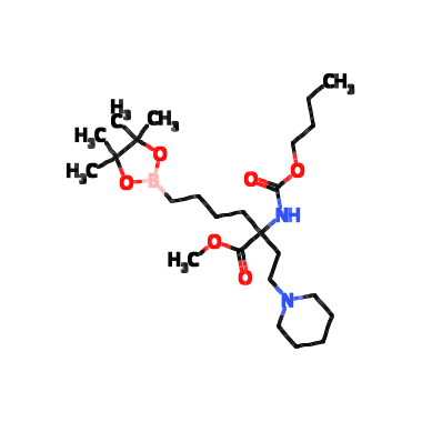 CCCCOC(=O)NC(CCCCB1OC(C)(C)C(C)(C)O1)(CCN1CCCCC1)C(=O)OC